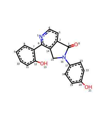 O=C1c2ccnc(-c3ccccc3O)c2CN1c1ccc(O)cc1